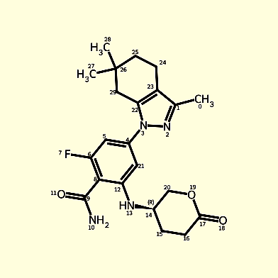 Cc1nn(-c2cc(F)c(C(N)=O)c(N[C@@H]3CCC(=O)OC3)c2)c2c1CCC(C)(C)C2